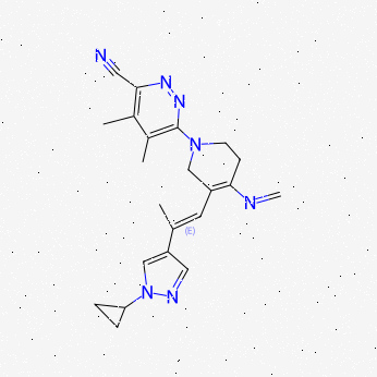 C=NC1=C(/C=C(\C)c2cnn(C3CC3)c2)CN(c2nnc(C#N)c(C)c2C)CC1